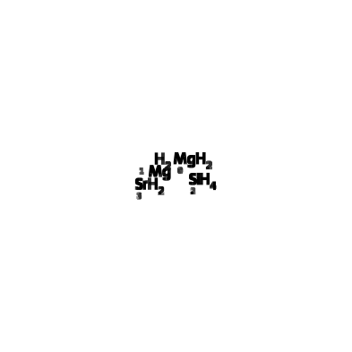 [MgH2].[MgH2].[SiH4].[SrH2]